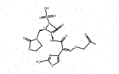 CC(=O)CO/N=C(\C(=O)N[C@@H]1C(=O)N(S(=O)(=O)O)[C@@H]1CN1CCOC1=O)c1csc(N)n1